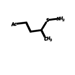 CC(=O)CCC(C)SN